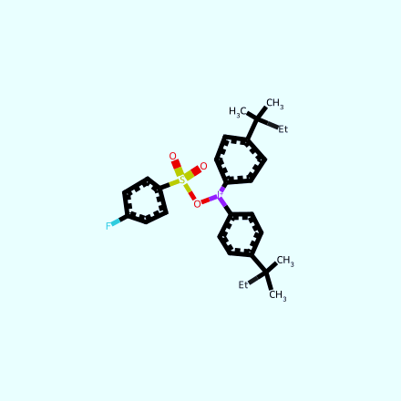 CCC(C)(C)c1ccc([I+](OS(=O)(=O)c2ccc(F)cc2)c2ccc(C(C)(C)CC)cc2)cc1